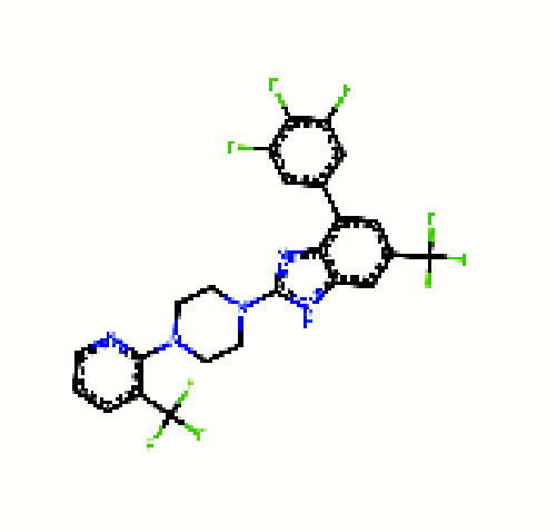 Fc1cc(-c2cc(C(F)(F)F)cc3[nH]c(N4CCN(c5ncccc5C(F)(F)F)CC4)nc23)cc(F)c1F